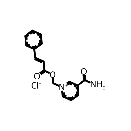 NC(=O)c1ccc[n+](COC(=O)C=Cc2ccccc2)c1.[Cl-]